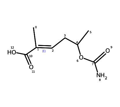 C/C(=C\CC(C)OC(N)=O)C(=O)O